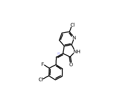 O=C1Nc2nc(Cl)ccc2/C1=C/c1cccc(Cl)c1F